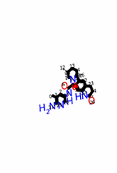 Cc1cc(NC(=O)C(=O)N2C[C@H](C)CC[C@@]2(C)c2ccc3c(c2)CCC(=O)N3)cnc1N